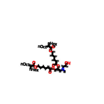 CCCCCCCCC(CCCCCC)C(=O)OCCCCCC(=O)OCC(CN(C)CCO)OC(=O)CCCCCOC(=O)[C@@H](CCCCCC)CCCCCCCC